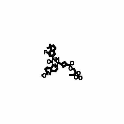 COc1ccc2c(n1)CCN(C(=O)C1CC(C(=O)OCc3oc(=O)oc3C)C1)[C@H]2C(=O)Nc1cc(F)c2c(c1)CCC2(C)C